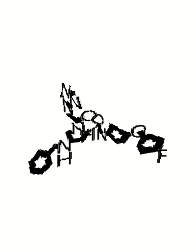 O=C(Nc1ccc(Oc2ccc(F)cc2)cc1)[C@@H]1C[C@@H](NCc2ccccc2)CN1C(=O)Cn1cncn1